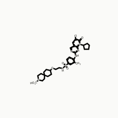 Cc1cc(S(=O)(=O)NCCOC2CCC3(CC2)CCN(C(=O)O)CC3)ccc1Nc1ncc2cc(Cl)c(=O)n(C3CCCC3)c2n1